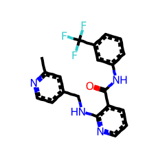 Cc1cc(CNc2ncccc2C(=O)Nc2cccc(C(F)(F)F)c2)ccn1